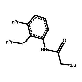 CCCOc1c(CCC)cccc1NC(=O)CC(C)(C)C